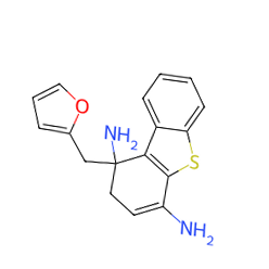 NC1=CCC(N)(Cc2ccco2)c2c1sc1ccccc21